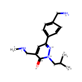 CNCc1cc(-c2ccc(CN)cc2)nn(CC(C)C)c1=O